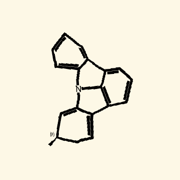 C[C@H]1C=c2c(c3cccc4c5ccccc5n2c34)=CC1